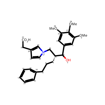 COc1cc(C(O)[C@H](CCCc2ccccc2)Cn2ccc(CC(=O)O)c2)cc(OC)c1OC